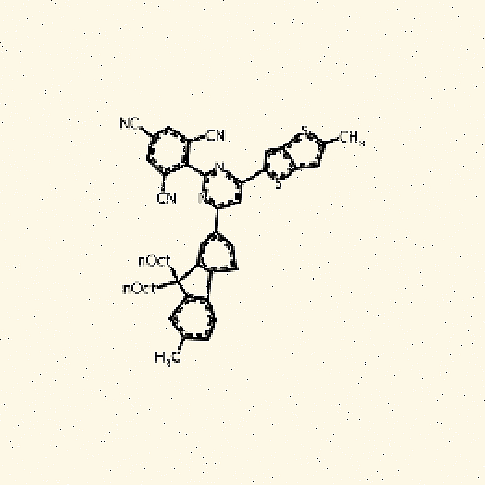 CCCCCCCCC1(CCCCCCCC)c2cc(C)ccc2-c2ccc(-c3cc(-c4cc5sc(C)cc5s4)nc(-c4c(C#N)cc(C#N)cc4C#N)n3)cc21